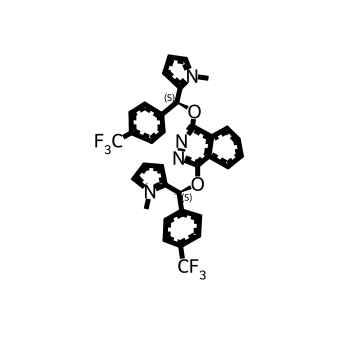 Cn1cccc1[C@@H](Oc1nnc(O[C@@H](c2ccc(C(F)(F)F)cc2)c2cccn2C)c2ccccc12)c1ccc(C(F)(F)F)cc1